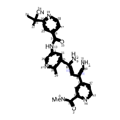 CNC(=O)c1cc(C(/C=C(\N)c2cc(NC(=O)c3ccnc(C(C)(C)C#N)c3)cnc2C)=C/N)ccn1